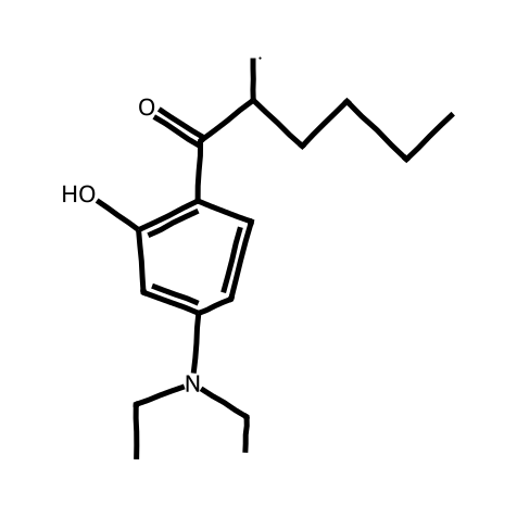 [CH2]C(CCCC)C(=O)c1ccc(N(CC)CC)cc1O